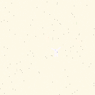 CCC(C)(NC(=O)c1ccc(C)c(Cl)c1Cl)C(=O)CCl